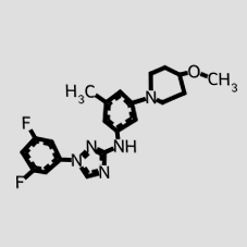 COC1CCN(c2cc(C)cc(Nc3ncn(-c4cc(F)cc(F)c4)n3)c2)CC1